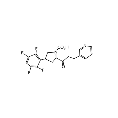 O=C(CCc1cccnc1)C1CC(c2c(F)c(F)cc(F)c2F)CN1C(=O)O